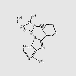 Nc1ncnc2c1nc(C1CCCCC1)n2[C@@H]1O[C@H](CO)[C@@H](O)[C@H]1S